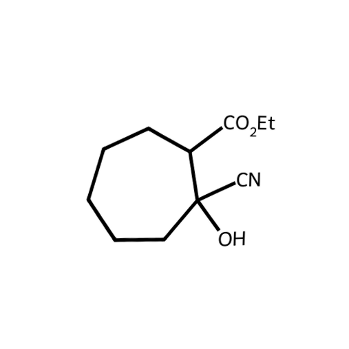 CCOC(=O)C1CCCCCC1(O)C#N